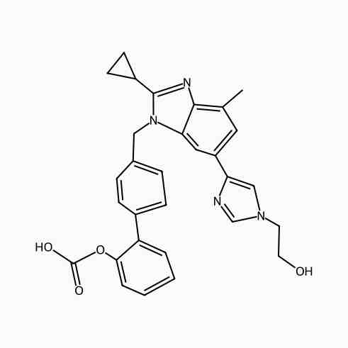 Cc1cc(-c2cn(CCO)cn2)cc2c1nc(C1CC1)n2Cc1ccc(-c2ccccc2OC(=O)O)cc1